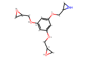 c1c(OCC2CN2)cc(OCC2CO2)cc1OCC1CO1